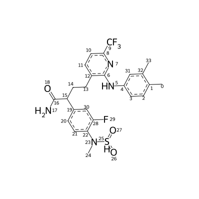 Cc1ccc(Nc2nc(C(F)(F)F)ccc2CCC(C(N)=O)c2ccc(N(C)[SH](=O)=O)c(F)c2)cc1C